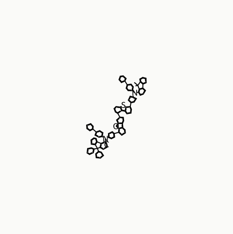 CC1(C)c2ccccc2-c2cccc(N(c3ccc(-c4ccccc4)cc3)c3ccc(-c4cccc5c4sc4cccc(-c6ccc7c(c6)oc6c(-c8ccc(N(c9ccc(-c%10ccccc%10)cc9)c9cccc%10c9-c9ccccc9C%10(c9ccccc9)c9ccccc9)cc8)cccc67)c45)cc3)c21